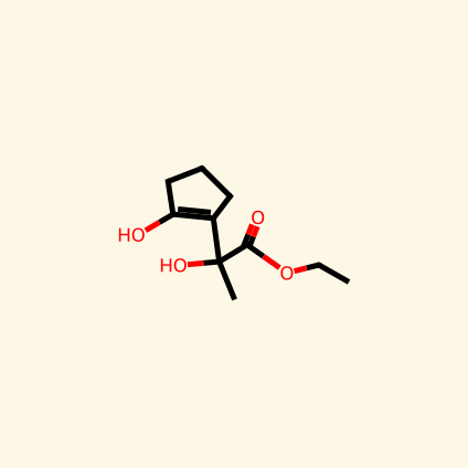 CCOC(=O)C(C)(O)C1=C(O)CCC1